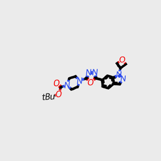 CC(C)(C)OC(=O)N1CCN(c2nnc(-c3ccc4cnn(C5COC5)c4c3)o2)CC1